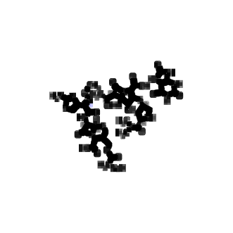 CO/N=C(/C(=O)N[C@@H]1C(=O)N2C(C(=O)O)=C(COC(C)=O)CS[C@H]12)c1csc(N)n1.C[C@@H](O)[C@H]1C(=O)N2C(C(=O)O)=C(S[C@@H]3CN[C@H](C(=O)N(C)C)C3)[C@H](C)[C@H]12.O=c1[nH]c(=O)c2[nH]c(=O)[nH]c2[nH]1.[NaH]